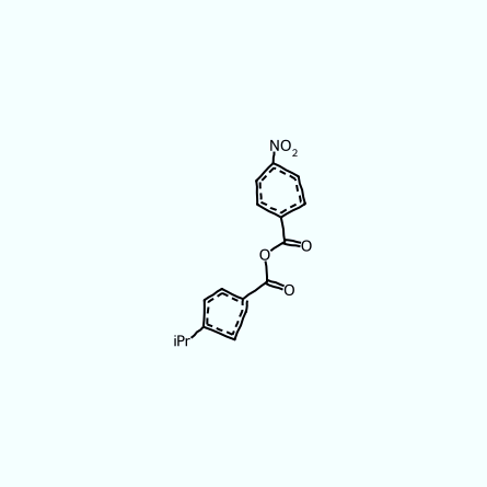 CC(C)c1ccc(C(=O)OC(=O)c2ccc([N+](=O)[O-])cc2)cc1